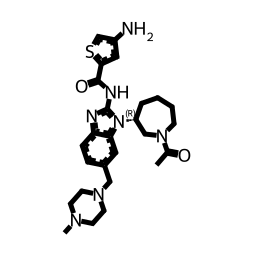 CC(=O)N1CCCC[C@@H](n2c(NC(=O)c3cc(N)cs3)nc3ccc(CN4CCN(C)CC4)cc32)C1